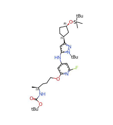 C[C@@H](CCCOc1cc(Nc2cc([C@H]3CC[C@@H](O[Si](C)(C)C(C)(C)C)C3)nn2C(C)(C)C)cc(F)n1)NC(=O)OC(C)(C)C